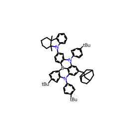 CC(C)(C)c1ccc(N2c3cc(N4c5ccccc5C5(C)CCCCC45C)ccc3B3c4ccc(C(C)(C)C)cc4N(c4ccc(C(C)(C)C)cc4)c4cc(C56CC7CC(CC(C7)C5)C6)cc2c43)cc1